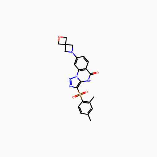 Cc1ccc(S(=O)(=O)c2nnn3c2[nH]c(=O)c2ccc(N4CC5(COC5)C4)cc23)c(C)c1